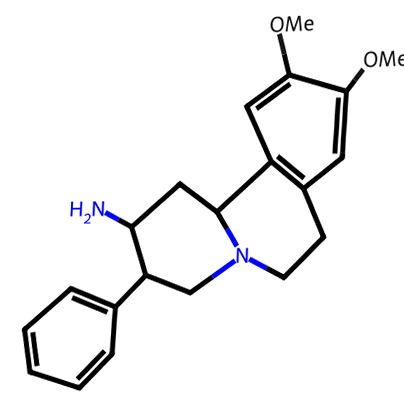 COc1cc2c(cc1OC)C1CC(N)C(c3ccccc3)CN1CC2